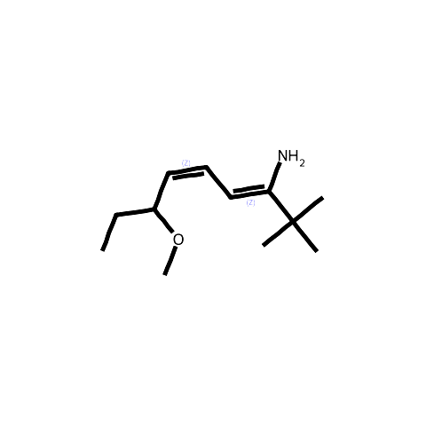 CCC(/C=C\C=C(/N)C(C)(C)C)OC